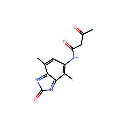 CC(=O)CC(=O)Nc1cc(C)c2c(c1C)=NC(=O)N=2